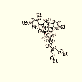 CCOCCN(CCOCC)C(=O)CC1CCN(C(=O)N2C(c3cnc(C(C)(C)C)cc3OCC)=N[C@@](C)(c3ccc(Cl)cc3)[C@@]2(C)c2ccc(Cl)cc2)CC1